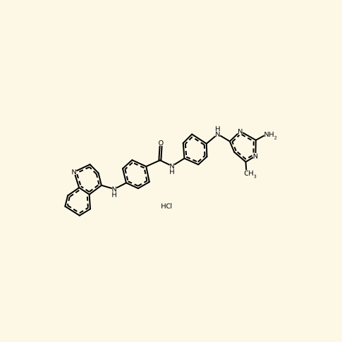 Cc1cc(Nc2ccc(NC(=O)c3ccc(Nc4ccnc5ccccc45)cc3)cc2)nc(N)n1.Cl